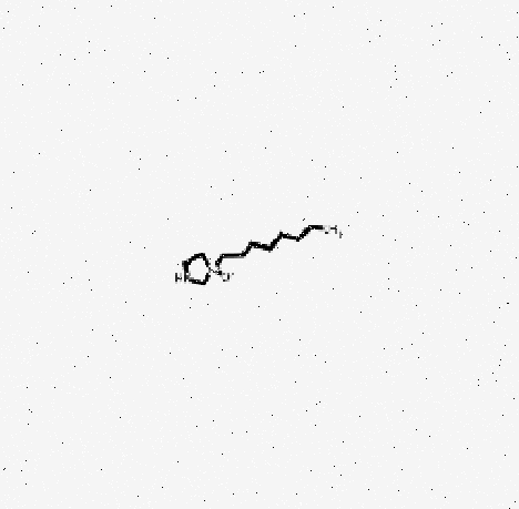 CCCCCCCC[N+]1([O-])CCNC1